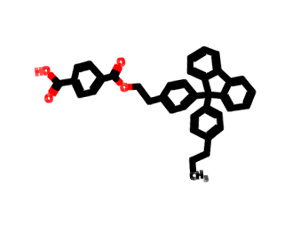 CCCc1ccc(C2(c3ccc(CCOC(=O)c4ccc(C(=O)O)cc4)cc3)c3ccccc3-c3ccccc32)cc1